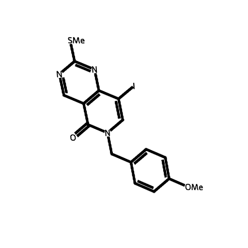 COc1ccc(Cn2cc(I)c3nc(SC)ncc3c2=O)cc1